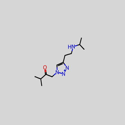 CC(C)NCCc1cn(CC(=O)C(C)C)nn1